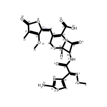 CON=C(C(=O)N[C@@H]1C(=O)N2C(C(=O)O)=C(/C=C3/OC(=O)C(C)=C3OC)CS[C@@H]12)c1csc(N)n1